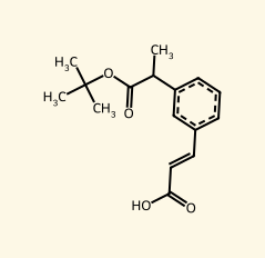 CC(C(=O)OC(C)(C)C)c1cccc(/C=C/C(=O)O)c1